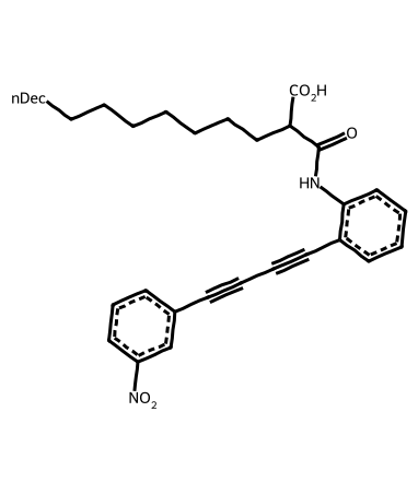 CCCCCCCCCCCCCCCCCC(C(=O)O)C(=O)Nc1ccccc1C#CC#Cc1cccc([N+](=O)[O-])c1